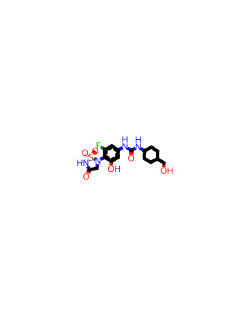 O=C1CN(c2c(O)cc(NC(=O)NC3CCC(CO)CC3)cc2F)S(=O)(=O)N1